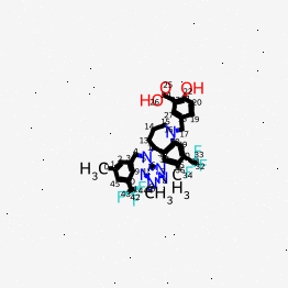 Cc1cc(CN(c2nnn(C)n2)[C@H]2CCCN(Cc3ccc(O)c(C(=O)O)c3)c3cc(C(F)(F)F)c(C)cc32)cc(C(F)(F)F)c1